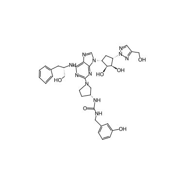 O=C(NCc1cccc(O)c1)N[C@@H]1CCN(c2nc(N[C@H](CO)Cc3ccccc3)c3ncn([C@@H]4C[C@H](n5ncc(CO)n5)[C@@H](O)[C@H]4O)c3n2)C1